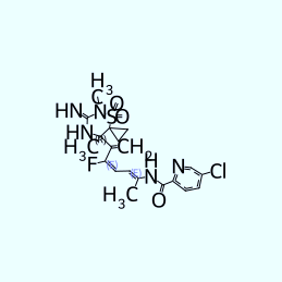 C=C(/C(F)=C\C=C(/C)NC(=O)c1ccc(Cl)cn1)[C@@]1(C)NC(=N)N(C)S(=O)(=O)C12CC2